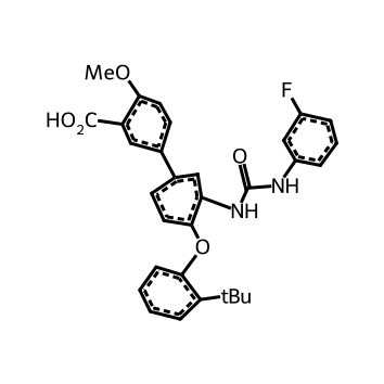 COc1ccc(-c2ccc(Oc3ccccc3C(C)(C)C)c(NC(=O)Nc3cccc(F)c3)c2)cc1C(=O)O